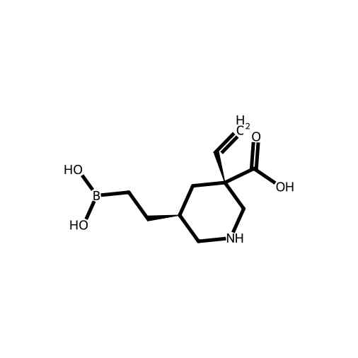 C=C[C@@]1(C(=O)O)CNC[C@@H](CCB(O)O)C1